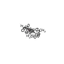 CCC(CC)(C(=O)NCC(O)(Cc1ccccc1OC)C(c1ccccc1OC)c1cccc2ccccc12)C(=O)NCC(O)(Cc1ccccc1OC)C(c1ccccc1OC)c1cccc2ccccc12